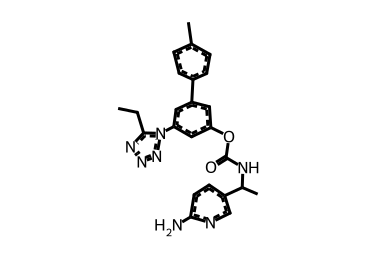 CCc1nnnn1-c1cc(OC(=O)NC(C)c2ccc(N)nc2)cc(-c2ccc(C)cc2)c1